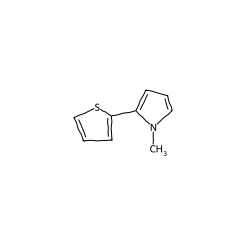 Cn1cccc1-c1cccs1